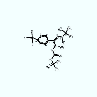 C[C@H](NC(=O)OC(C)(C)C)C(=N[S@+]([O-])C(C)(C)C)c1ccc(C(F)(F)F)nc1